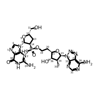 Nc1nc2c(ncn2[C@@H]2O[C@H](CO)C[C@H]2P(=O)(S)OCC[C@H]2O[C@@H](n3nnc4c(N)ncnc43)[C@@H](F)[C@@H]2O)c(=O)[nH]1